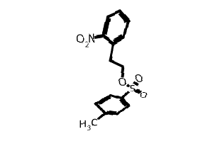 Cc1ccc(S(=O)(=O)OCCc2ccccc2[N+](=O)[O-])cc1